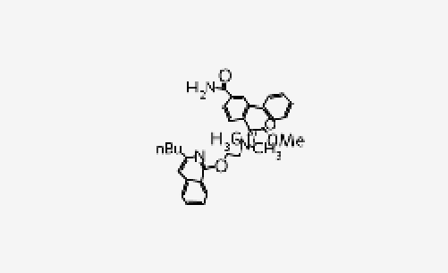 CCCCc1cc2ccccc2c(OCC[N+](C)(C)[C@H](C(=O)OC)c2ccc(C(N)=O)cc2-c2ccccc2)n1